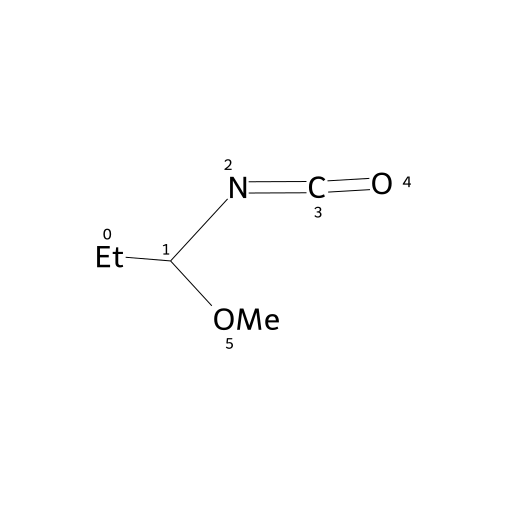 CCC(N=C=O)OC